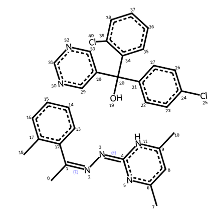 C/C(=N/N=c1\nc(C)cc(C)[nH]1)c1ccccc1C.OC(c1ccc(Cl)cc1)(c1cncnc1)c1ccccc1Cl